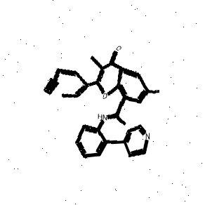 C#C/C=C\C(=C/C)c1oc2c(C(C)Nc3ccccc3-c3ccncc3)cc(C)cc2c(=O)c1C